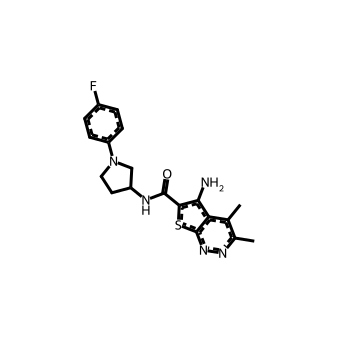 Cc1nnc2sc(C(=O)NC3CCN(c4ccc(F)cc4)C3)c(N)c2c1C